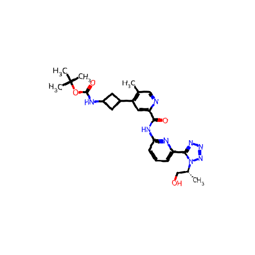 Cc1cnc(C(=O)Nc2cccc(-c3nnnn3[C@H](C)CO)n2)cc1C1CC(NC(=O)OC(C)(C)C)C1